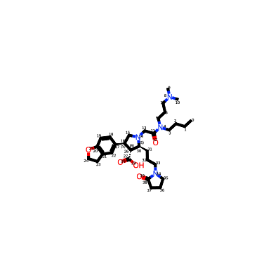 CCCCN(CCCN(C)C)C(=O)CN1C[C@H](c2ccc3c(c2)CCO3)[C@@H](C(=O)O)[C@@H]1CCCN1CCCC1=O